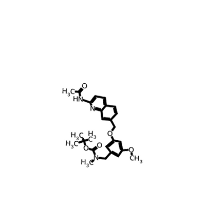 COc1cc(CN(C)C(=O)OC(C)(C)C)cc(OCc2ccc3ccc(NC(C)=O)nc3c2)c1